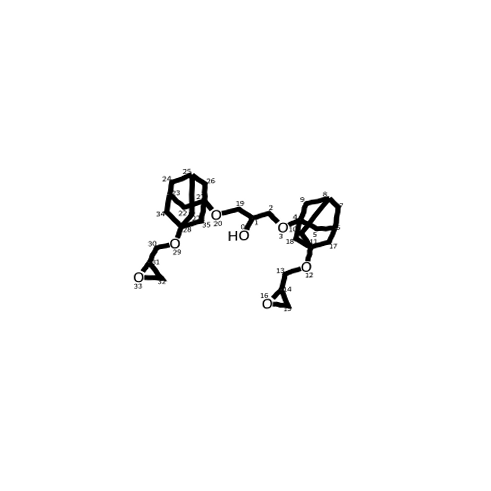 OC(COC12CC3CC(C1)CC(OCC1CO1)(C3)C2)COC12CC3CC(C1)CC(OCC1CO1)(C3)C2